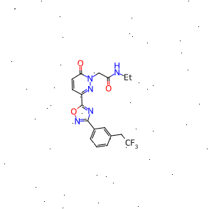 CCNC(=O)Cn1nc(-c2nc(-c3cccc(CC(F)(F)F)c3)no2)ccc1=O